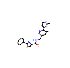 Cc1cc(-c2ncc(CNC(=O)c3csc(-c4ccccc4)n3)cc2C)ccn1